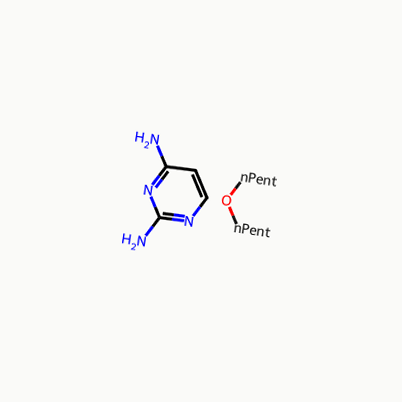 CCCCCOCCCCC.Nc1ccnc(N)n1